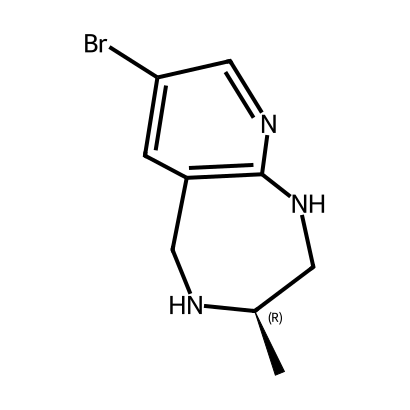 C[C@@H]1CNc2ncc(Br)cc2CN1